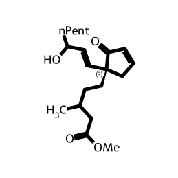 CCCCCC(O)C=C[C@@]1(CCC(C)CC(=O)OC)CC=CC1=O